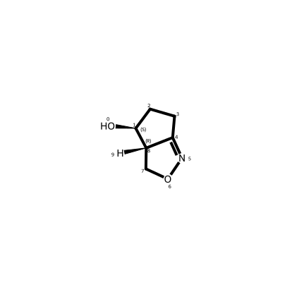 O[C@H]1CCC2=NOC[C@@H]21